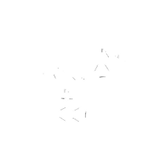 N=C(N)c1cccc(CN2CC[C@H](NS(=O)(=O)c3cccc4ccccc34)C2=O)c1.O=C(O)C(F)(F)F